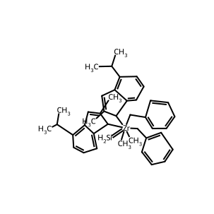 CC1=Cc2c(C(C)C)cccc2[CH]1[Zr]([CH3])([CH3])(=[SiH2])([CH2]c1ccccc1)([CH2]c1ccccc1)[CH]1C(C)=Cc2c(C(C)C)cccc21